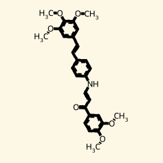 COc1ccc(C(=O)C=CNc2ccc(C=Cc3cc(OC)c(OC)c(OC)c3)cc2)cc1OC